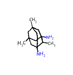 CC1C2(N)CC3(C)CC(C)(C2)CC1(N)C3